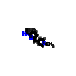 CN1CCC(=Cc2cccc(NC=O)n2)CC1